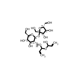 C=CC(O)OC(O)C=C.OC[C@H]1O[C@@](CO)(O[C@H]2O[C@H](CO)[C@@H](O)[C@H](O)[C@H]2O)[C@@H](O)[C@@H]1O